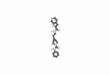 O=C(NCCC1C2CN(C(=O)Nc3ccccc3)CC12)c1cc2ccncc2o1